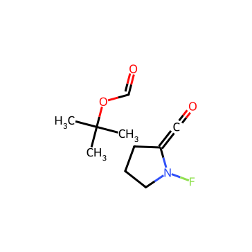 CC(C)(C)OC=O.O=C=C1CCCN1F